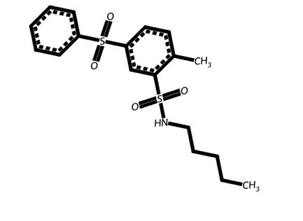 CCCCCNS(=O)(=O)c1cc(S(=O)(=O)c2ccccc2)ccc1C